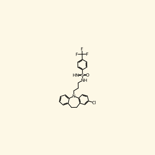 N=S(=O)(NCCCN1c2ccccc2CCc2cc(Cl)ccc21)c1ccc(C(F)(F)F)cc1